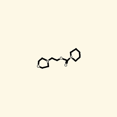 O=C(OCCN1CCOCC1)N1CCCCC1